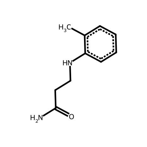 Cc1ccccc1NCCC(N)=O